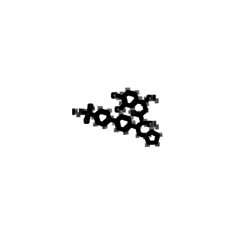 CN(CC(=O)N(C)C(CN1CCCC1)c1ccc(-c2ccc(S(N)(=O)=O)cc2)cc1)c1ccc(Cl)c(Cl)c1